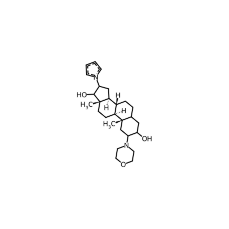 C[C@]12CC(N3CCOCC3)C(O)CC1CC[C@@H]1[C@@H]2CC[C@]2(C)C(O)C(n3cccc3)C[C@@H]12